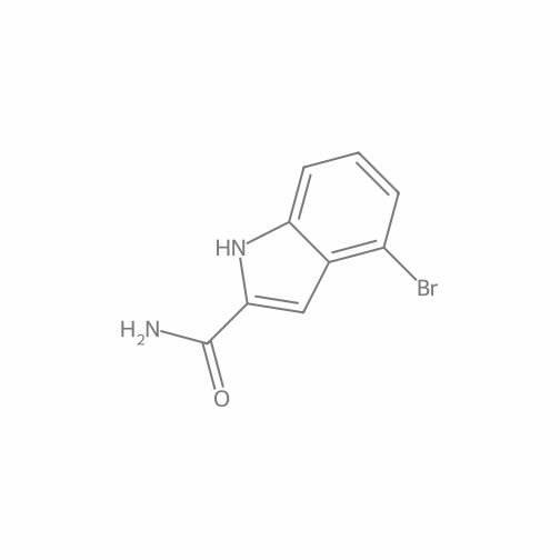 NC(=O)c1cc2c(Br)cccc2[nH]1